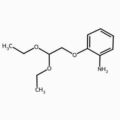 CCOC(COc1ccccc1N)OCC